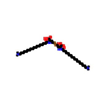 CN(C)CCCCCCCCCCCCCCCCCC(=O)NC(CCSSCCC(NC(=O)CCCCCCCCCCCCCCCCCN(C)C)C(=O)O)C(=O)O